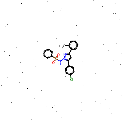 Cc1ccccc1-c1cc(-c2ccc(Cl)cc2)n(NS(=O)(=O)c2ccccc2)n1